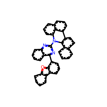 c1ccc2c3c(ccc2c1)-c1cccc2cccc(c12)N3c1nc(-c2cccc3c2oc2ccccc23)c2ccccc2n1